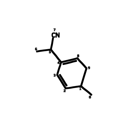 CC1C=CC(C(C)C#N)=CC1